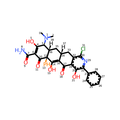 CN(C)[C@@H]1C(O)=C(C(N)=O)C(=O)[C@@]2(P)C(O)=C3C(=O)c4c(O)c(-c5ccccc5)nc(Cl)c4C[C@H]3C[C@@H]12